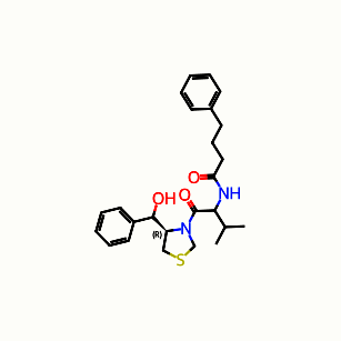 CC(C)C(NC(=O)CCCc1ccccc1)C(=O)N1CSC[C@H]1C(O)c1ccccc1